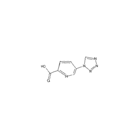 O=C(O)c1ccc(-n2cnnn2)cn1